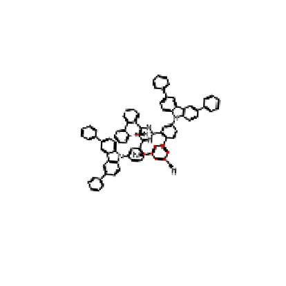 N#Cc1cccc(-c2ccc(-n3c4ccc(-c5ccccc5)cc4c4cc(-c5ccccc5)ccc43)cc2-c2nc(-c3cc(-n4c5ccc(-c6ccccc6)cc5c5cc(-c6ccccc6)ccc54)ccc3-c3cccc(C#N)c3)nc(-c3ccccc3-c3ccccc3C#N)n2)c1